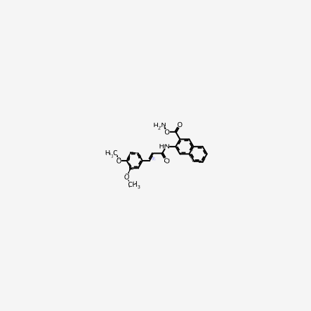 COc1ccc(/C=C/C(=O)Nc2cc3ccccc3cc2C(=O)ON)cc1OC